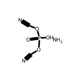 N.N#COP(=O)(O)OC#N